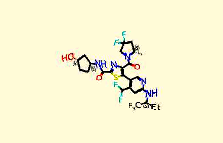 CC[C@H](Nc1cc(C(F)F)c(-c2sc(C(=O)N[C@H]3CC[C@H](O)C3)nc2C(=O)N2CC(F)(F)C[C@@H]2C)cn1)C(F)(F)F